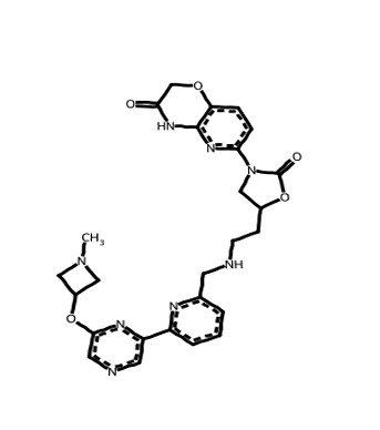 CN1CC(Oc2cncc(-c3cccc(CNCCC4CN(c5ccc6c(n5)NC(=O)CO6)C(=O)O4)n3)n2)C1